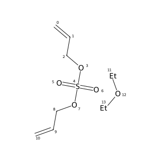 C=CCOS(=O)(=O)OCC=C.CCOCC